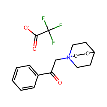 O=C(C[N+]12CCC(CC1)CC2)c1ccccc1.O=C([O-])C(F)(F)F